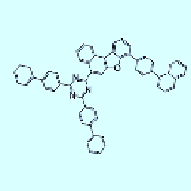 C1=CCCC(c2ccc(-c3nc(-c4ccc(-c5ccccc5)cc4)nc(-c4cc5oc6c(-c7ccc(-c8cccc9ccccc89)cc7)cccc6c5c5ccccc45)n3)cc2)=C1